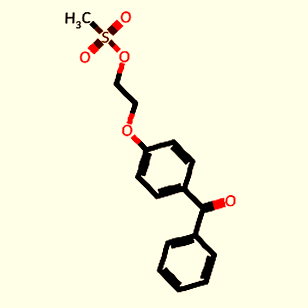 CS(=O)(=O)OCCOc1ccc(C(=O)c2ccccc2)cc1